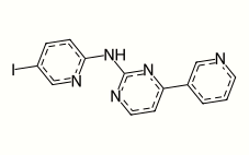 Ic1ccc(Nc2nccc(-c3cccnc3)n2)nc1